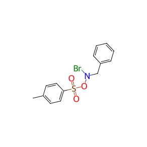 Cc1ccc(S(=O)(=O)ON(Br)Cc2ccccc2)cc1